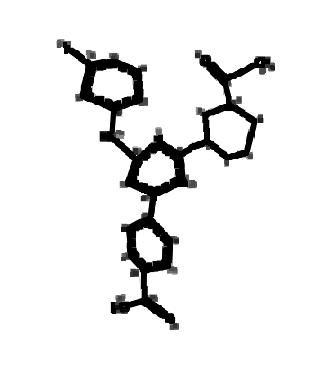 CC(=O)N1CCCC(c2nc(Nc3cccc(F)c3)cc(-c3ccc(C(=O)O)cc3)n2)C1